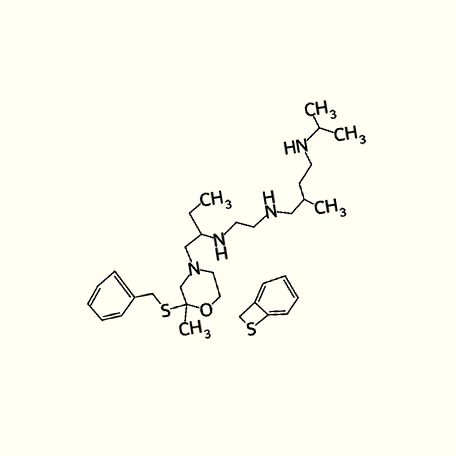 CCC(CN1CCOC(C)(SCc2ccccc2)C1)NCCNCC(C)CCNC(C)C.c1ccc2c(c1)CS2